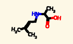 CC(C)=CCNC(C)C(=O)O